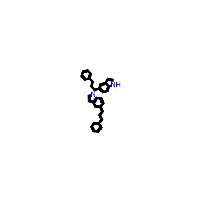 c1ccc(CCCc2ccc3c(ccn3C(CCc3ccccc3)c3ccc4[nH]ccc4c3)c2)cc1